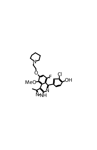 COc1c(OCCN2CCCCC2)cc(F)c2c(-c3ccc(O)c(Cl)c3)nc3[nH]nc(C)c3c12